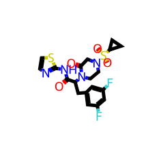 O=C(Nc1nccs1)C(Cc1cc(F)cc(F)c1)N1CCN(S(=O)(=O)C2CC2)CC1=O